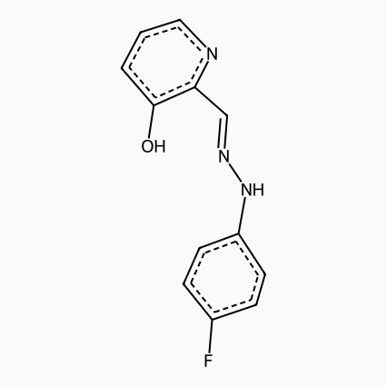 Oc1cccnc1C=NNc1ccc(F)cc1